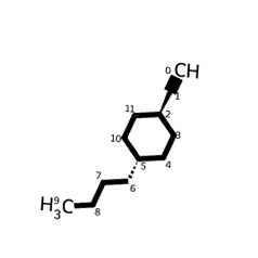 C#C[C@H]1CC[C@H](CCCC)CC1